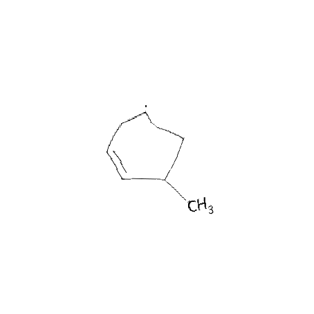 CC1C=CC[CH]C1